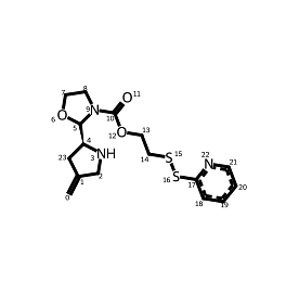 C=C1CN[C@H](C2OCCN2C(=O)OCCSSc2ccccn2)C1